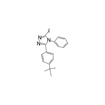 CC(C)(C)c1ccc(-c2nnc(I)n2-c2ccccc2)cc1